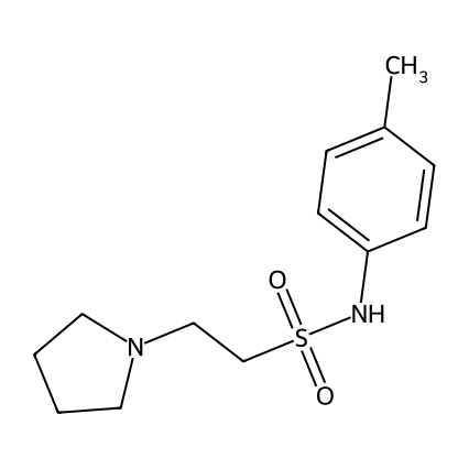 Cc1ccc(NS(=O)(=O)CCN2CCCC2)cc1